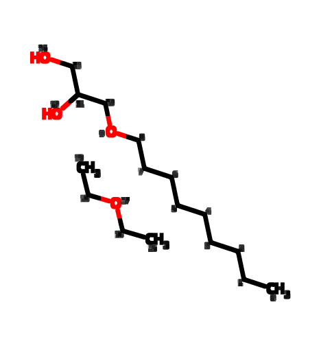 CCCCCCCCCOCC(O)CO.CCOCC